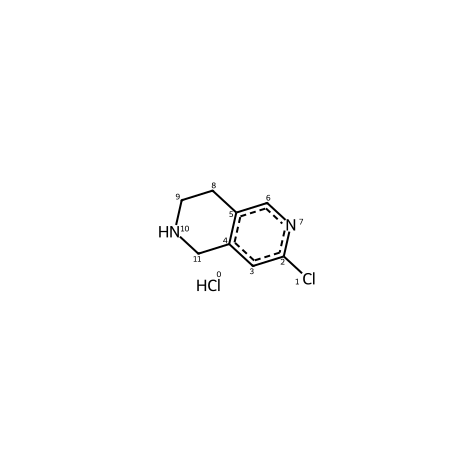 Cl.Clc1cc2c(cn1)CCNC2